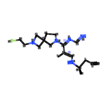 COC[C@@H](C)N/C=C(C)/C(=N\C=N)N1CCC2(CN(CCF)C2)C1